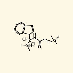 C[SiH](C)[Ti]([Cl])([Cl])([NH]C(=O)CO[Si](C)(C)C)[CH]1C=Cc2ccccc21